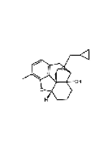 Cc1ccc2c3c1O[C@H]1CCCC4(O)C(C2)N(CC2CC2)CC[C@]314